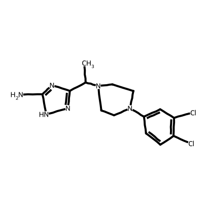 CC(c1n[nH]c(N)n1)N1CCN(c2ccc(Cl)c(Cl)c2)CC1